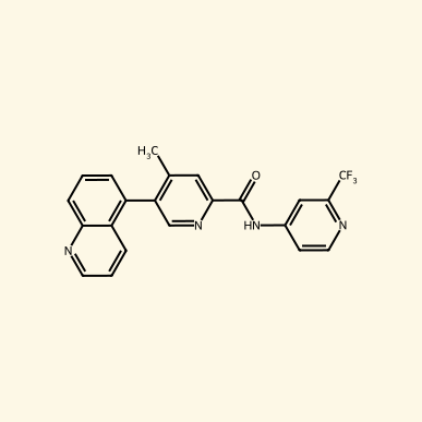 Cc1cc(C(=O)Nc2ccnc(C(F)(F)F)c2)ncc1-c1cccc2ncccc12